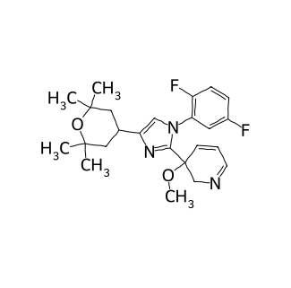 COC1(c2nc(C3CC(C)(C)OC(C)(C)C3)cn2-c2cc(F)ccc2F)C=CC=NC1